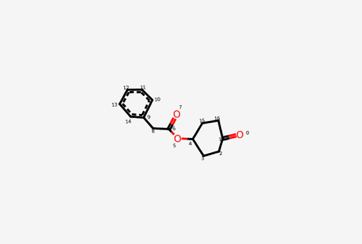 O=C1CCC(OC(=O)Cc2ccccc2)CC1